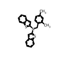 Cc1ccc(CN(c2cc3ccccc3s2)c2cc3ccccc3s2)c(C)c1